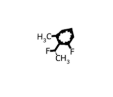 Cc1cccc(F)c1[C@H](C)F